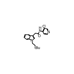 CC(C)(C)CCn1cc(CC(=O)Nc2ccncc2Cl)c2ccccc21